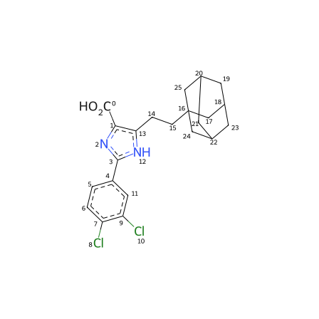 O=C(O)c1nc(-c2ccc(Cl)c(Cl)c2)[nH]c1CCC12CC3CC(CC(C3)C1)C2